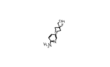 Nc1ccc(N2CC(F)(CO)C2)cn1